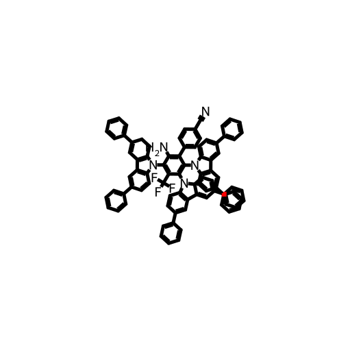 N#Cc1ccc(-c2c(N)c(-n3c4c(c5cc(-c6ccccc6)ccc53)C=C(c3ccccc3)CC4)c(C(F)(F)F)c(-n3c4ccc(-c5ccccc5)cc4c4cc(-c5ccccc5)ccc43)c2-n2c3ccc(-c4ccccc4)cc3c3cc(-c4ccccc4)ccc32)cc1